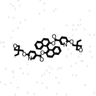 CCC1(COc2ccc(C(=O)Oc3ccc4ccccc4c3-c3c(OC(=O)c4ccc(OCC5(CC)COC5)nc4)ccc4ccccc34)cn2)COC1